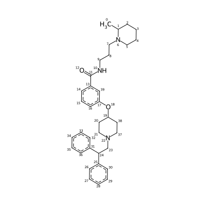 CC1CCCCN1CCCNC(=O)c1cccc(OC2CCN(CC(c3ccccc3)c3ccccc3)CC2)c1